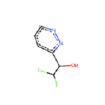 OC(c1cc[c]nn1)C(F)F